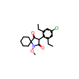 CCc1cc(Cl)cc(CC)c1C1C(=O)N(OC)C2(CCCCC2)C1=O